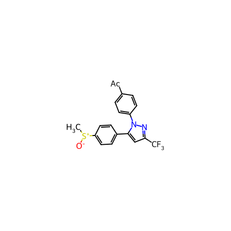 CC(=O)c1ccc(-n2nc(C(F)(F)F)cc2-c2ccc([S+](C)[O-])cc2)cc1